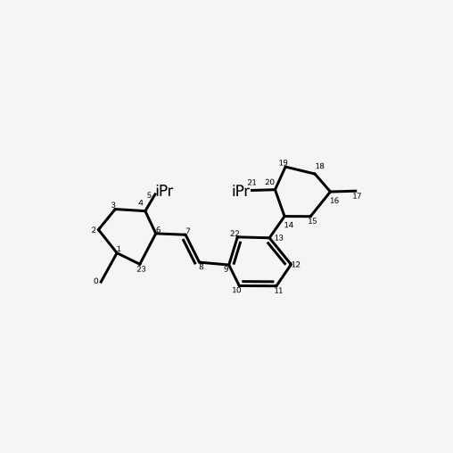 CC1CCC(C(C)C)C(C=Cc2cccc(C3CC(C)CCC3C(C)C)c2)C1